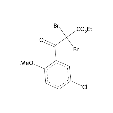 CCOC(=O)C(Br)(Br)C(=O)c1cc(Cl)ccc1OC